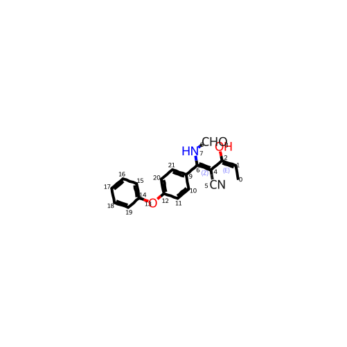 C/C=C(O)\C(C#N)=C(/NC=O)c1ccc(Oc2ccccc2)cc1